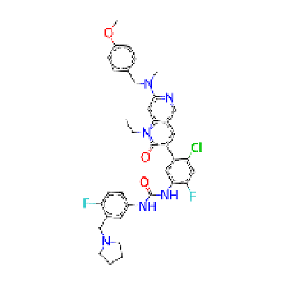 CCn1c(=O)c(-c2cc(NC(=O)Nc3ccc(F)c(CN4CCCC4)c3)c(F)cc2Cl)cc2cnc(N(C)Cc3ccc(OC)cc3)cc21